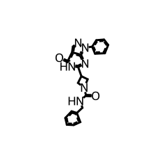 O=C(NCc1ccccc1)N1CC(c2nc3c(cnn3-c3ccccc3)c(=O)[nH]2)C1